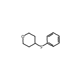 c1ccc(SC2CCOCC2)cc1